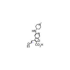 CCO/C=C/c1c(C(=O)O)oc2cnc(NC3CCN(C)CC3)cc12